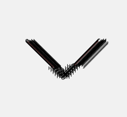 O=P(O)(O)O.O=P(O)(O)O.O=P(O)(O)O.O=P(O)(O)O.O=P(O)(O)O.O=P(O)(O)O.O=P(O)(O)O.O=P(O)(O)O.O=P(O)(O)O.O=P(O)(O)O.[CaH2].[CaH2].[CaH2].[CaH2].[CaH2].[CaH2].[CaH2].[CaH2].[CaH2].[CaH2].[CaH2].[CaH2].[CaH2].[CaH2].[CaH2].[CaH2].[CaH2].[CaH2].[CaH2].[CaH2].[CaH2].[CaH2].[CaH2].[CaH2].[CaH2].[CaH2].[CaH2].[CaH2].[CaH2].[CaH2].[CaH2].[CaH2].[CaH2].[CaH2].[CaH2].[CaH2].[CaH2].[CaH2].[CaH2].[CaH2].[CaH2].[CaH2].[CaH2].[CaH2].[CaH2].[CaH2].[CaH2].[CaH2].[CaH2].[CaH2].[CaH2].[CaH2].[CaH2].[CaH2].[CaH2].[CaH2].[CaH2].[CaH2].[CaH2].[CaH2].[CaH2].[CaH2].[CaH2].[CaH2].[CaH2].[CaH2].[CaH2].[CaH2].[CaH2].[CaH2].[CaH2].[CaH2].[CaH2].[CaH2].[CaH2].[CaH2].[CaH2].[CaH2].[CaH2].[CaH2].[CaH2].[CaH2].[CaH2].[CaH2].[CaH2].[CaH2].[CaH2].[CaH2].[CaH2].[CaH2]